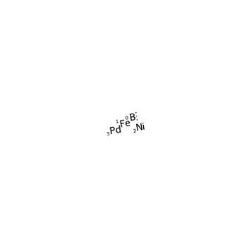 [B].[Fe].[Ni].[Pd]